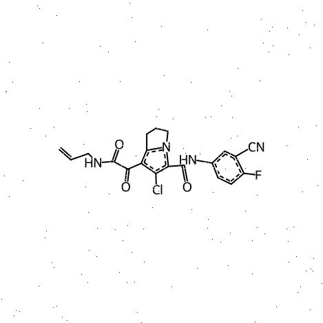 C=CCNC(=O)C(=O)c1c(Cl)c(C(=O)Nc2ccc(F)c(C#N)c2)n2c1CCC2